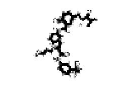 COCCCn1c(C(=O)Nc2cccc(C(F)(F)F)c2)cc2cc(NC(=O)c3cc(CNC(=O)C(C)C)ccc3Cl)ccc21